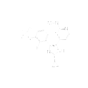 CNc1nccc(-c2[nH]c(C3CC3)nc2-c2cccc(NS(C)(=O)=O)c2F)n1